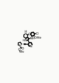 COc1c(Cl)cccc1Nc1c(-c2ccncc2C#C[C@H]2CCCN2C(=O)OC(C)(C)C)[nH]c2c1C(=O)NCC2